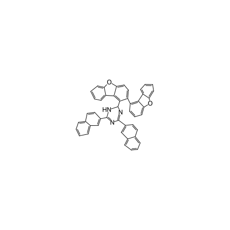 c1ccc2cc(C3=NC(c4c(-c5cccc6oc7ccccc7c56)ccc5oc6ccccc6c45)NC(c4ccc5ccccc5c4)=N3)ccc2c1